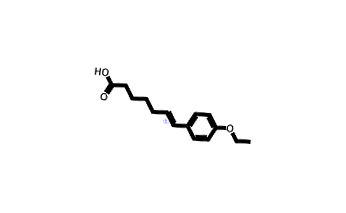 CCOc1ccc(/C=C/CCCCC(=O)O)cc1